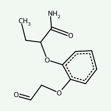 CCC(Oc1ccccc1OCC=O)C(N)=O